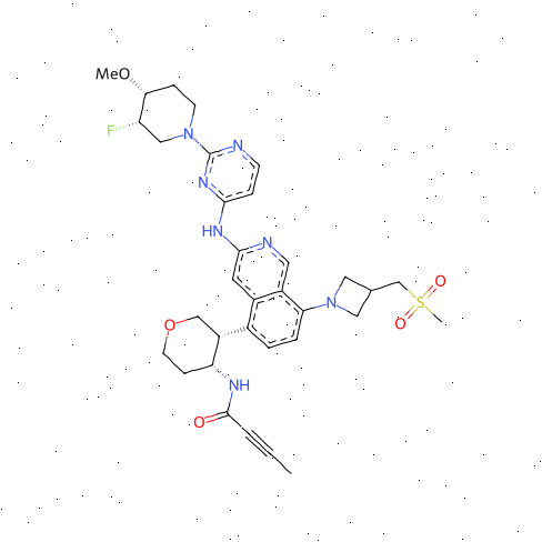 CC#CC(=O)N[C@@H]1CCOC[C@@H]1c1ccc(N2CC(CS(C)(=O)=O)C2)c2cnc(Nc3ccnc(N4CC[C@@H](OC)[C@@H](F)C4)n3)cc12